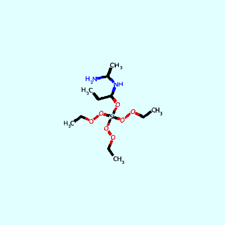 CCOO[Si](OOCC)(OOCC)OC(CC)NC(C)N